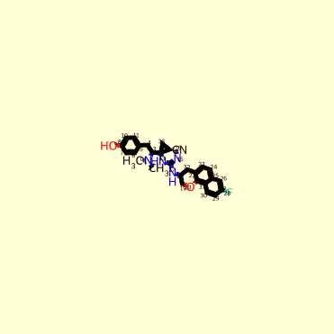 CN(C)C(Cc1ccc(O)cc1)C1(NC(=NC#N)NC2COc3c(ccc4cc(F)ccc34)C2)CC1